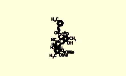 COCOc1c(OC)c(C)cc2c1[C@@H]1C3Cc4c(O)c(C)c5c(c4[C@H](COC(=O)/C=C/c4cccc(C)c4)N3[C@@H](C#N)[C@H](C2)N1C)OCO5